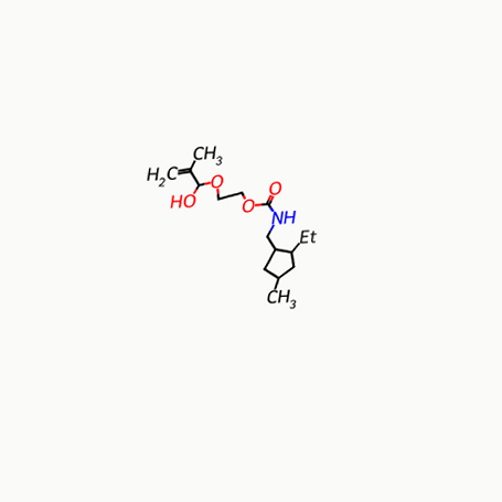 C=C(C)C(O)OCCOC(=O)NCC1CC(C)CC1CC